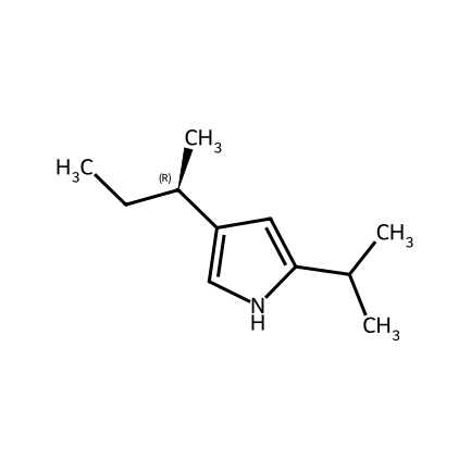 CC[C@@H](C)c1c[nH]c(C(C)C)c1